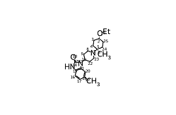 CCO[C@H]1CC[C@](C)(N2CCC(n3c(=O)[nH]c4ccc(C)cc43)CC2)CC1